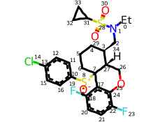 CCN(C[C@@H]1CCC[C@@]2([S+]([O-])c3ccc(Cl)cc3)c3c(F)ccc(F)c3OC[C@@H]12)S(=O)(=O)C1CC1